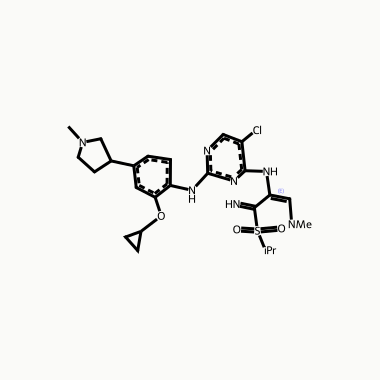 CN/C=C(/Nc1nc(Nc2ccc(C3CCN(C)C3)cc2OC2CC2)ncc1Cl)C(=N)S(=O)(=O)C(C)C